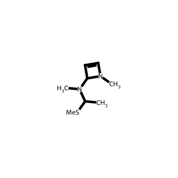 CSC(C)N(C)C1C=CN1C